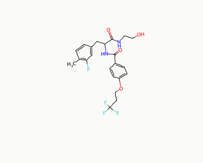 Cc1ccc(CC(NC(=O)c2ccc(OCCC(F)(F)F)cc2)C(=O)NCCO)cc1F